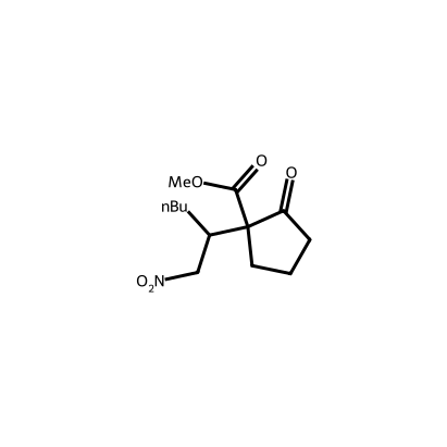 CCCCC(C[N+](=O)[O-])C1(C(=O)OC)CCCC1=O